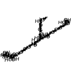 CCCOC(C)NCCOCCOCCOCC(=O)NC(COCCC(=O)NCCOCCOCCOCCOC[C@H]1OC[C@H](Nc2cncc(C(F)(F)F)n2)[C@@H](O)[C@H]1O)COCCC(=O)NCCOCCOCCOCCOC[C@H]1OCC[C@@H](O)[C@H]1O